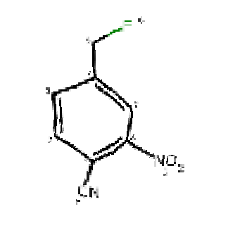 N#Cc1ccc(CF)cc1[N+](=O)[O-]